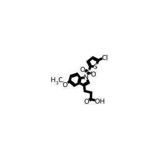 COc1ccc2c(c1)c(CCC(=O)O)cn2S(=O)(=O)c1ccc(Cl)s1